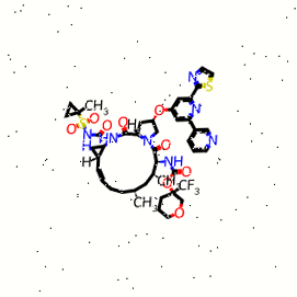 C[C@@H]1CC/C=C\[C@@H]2C[C@@]2(C(=O)NS(=O)(=O)C2(C)CC2)NC(=O)[C@@H]2C[C@@H](Oc3cc(-c4cccnc4)nc(-c4nccs4)c3)CN2C(=O)[C@@H](NC(=O)OC2(C(F)(F)F)CCCOC2)[C@H](C)C1